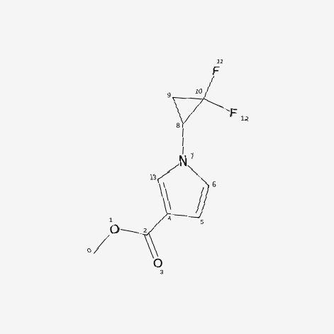 COC(=O)c1ccn(C2CC2(F)F)c1